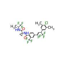 Cc1cc(C(/C=C(\F)c2ccc(C(=O)NC3(C(=O)NC(C)C(F)(F)F)CC3)c(C(F)(F)F)c2)C(F)(F)F)cc(C)c1Cl